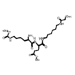 CCCCCCCCCCCC(=O)NCCCCCCNC(=O)C(CCC(=O)OC(C)(C)C)NC(=O)C(N)CCCCNC(=O)OC(C)(C)C